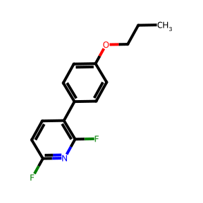 CCCOc1ccc(-c2ccc(F)nc2F)cc1